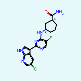 NC(=O)[C@H]1CCC[C@@H](Nc2nc(-c3c[nH]c4ncc(Cl)cc34)ncc2F)C1